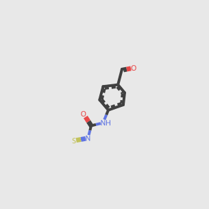 O=Cc1ccc(NC(=O)N=S)cc1